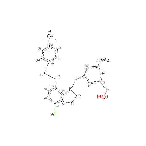 COc1cc(CO)cc(CC2CCc3c(F)ccc(CCc4ccc(C)cc4)c32)c1